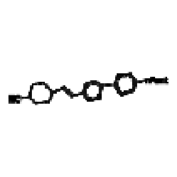 CCCCCc1ccc(-c2ccc(C=CC3CCC(C#N)CC3)cc2)cc1